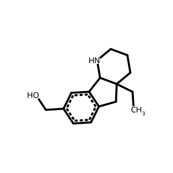 CCC12CCCNC1c1cc(CO)ccc1C2